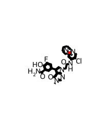 CN1CC2CC(C1)N2c1cc(NC(=O)Cn2cc(-c3cc(F)c(O)c(C(N)=O)c3)c3c(=O)n(C)cnc32)c(Cl)cn1